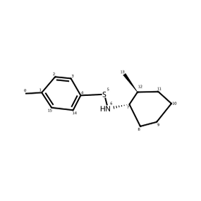 Cc1ccc(SN[C@H]2CCCC[C@@H]2C)cc1